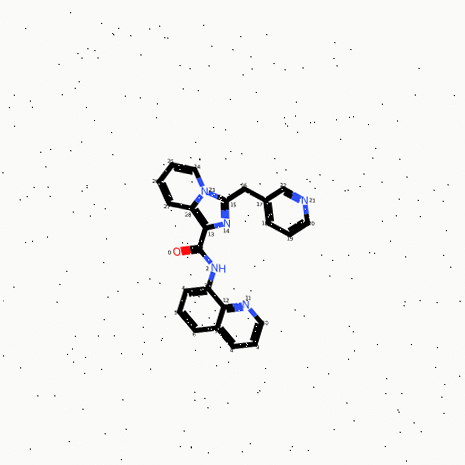 O=C(Nc1cccc2cccnc12)c1nc(Cc2cccnc2)n2ccccc12